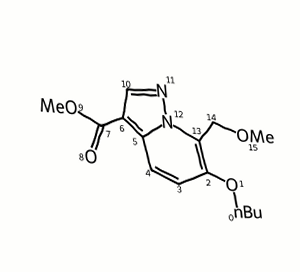 CCCCOc1ccc2c(C(=O)OC)cnn2c1COC